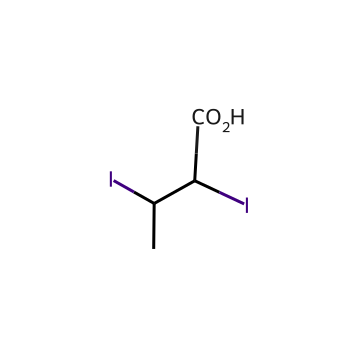 CC(I)C(I)C(=O)O